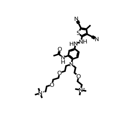 CC(=O)Nc1cc(NNc2sc(C#N)c(C)c2C#N)ccc1N(CCOCCOCC[N+](C)(C)C)CCOCC[N+](C)(C)C